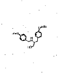 CCCCOc1ccc(C[C@@H](CO)NCc2ccc(OC)cc2)cc1